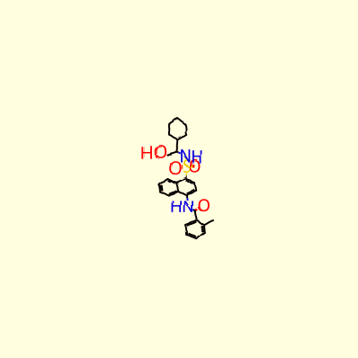 Cc1ccccc1C(=O)Nc1ccc(S(=O)(=O)NC(CO)C2CCCCC2)c2ccccc12